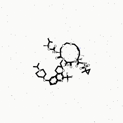 CC(C)[C@H](C)OC(=O)N[C@H]1CCCCC/C=C\[C@H](C)[C@](F)(C(=O)NS(=O)(=O)C2(C)CC2)NC(=O)[C@@H]2C[C@]3(CCc4c(c(C(F)(F)F)nc5ccc(OC6CCN(C(C)C)CC6)cc45)O3)CN2C1=O